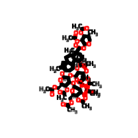 C=C1C[C@@]23CC[C@H]4[C@@](C)(CCC[C@@]4(C)C(=O)O[C@@H]4OC[C@H](C)[C@H](OC(C)=O)[C@H]4OC(C)=O)[C@@H]2CC[C@]1(O[C@@H]1O[C@H](COC(C)=O)[C@@H](OC(C)=O)[C@H](O[C@@H]2O[C@H](COC(C)=O)[C@@H](OC(C)=O)[C@H](OC(C)=O)[C@H]2OC(C)=O)[C@H]1O[C@@H]1O[C@H](COC(C)=O)[C@@H](OC(C)=O)[C@H](OC(C)=O)[C@H]1OC(C)=O)C3